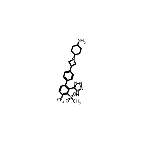 CS(=O)(=O)c1c(C(F)(F)F)ccc(-c2ccc(C3CN(C4CCC(N)CC4)C3)cc2)c1-c1nnn[nH]1